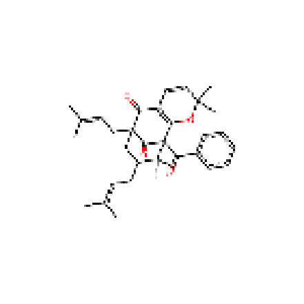 CC(C)=CCC1CC2(CC=C(C)C)C(=O)C3=C(OC(C)(C)C=C3)C(C(=O)c3ccccc3)(C2=O)C1(C)C